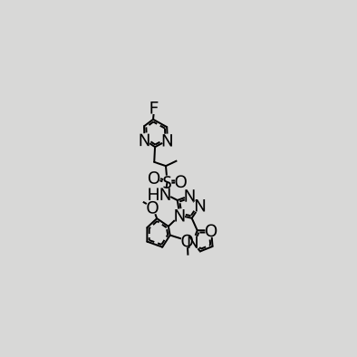 COc1cccc(OC)c1-n1c(NS(=O)(=O)C(C)Cc2ncc(F)cn2)nnc1-c1ncco1